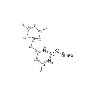 CCCCCCSc1nc(C)cc(CN2CC(C)CC(C)C2)n1